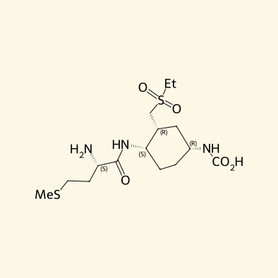 CCS(=O)(=O)C[C@@H]1C[C@H](NC(=O)O)CC[C@@H]1NC(=O)[C@@H](N)CCSC